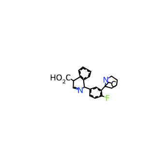 O=C(O)C1C=NC(c2ccc(F)c(C3CC4CCN3CC4)c2)c2ccccc21